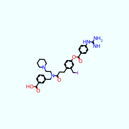 N=C(N)Nc1ccc(C(=O)Oc2ccc(CCC(=O)N(CCN3CCCCC3)Cc3cccc(C(=O)O)c3)c(CI)c2)cc1